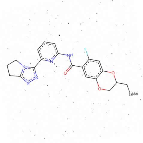 COCC1COc2cc(C(=O)Nc3cccc(-c4nnc5n4CCC5)n3)c(F)cc2O1